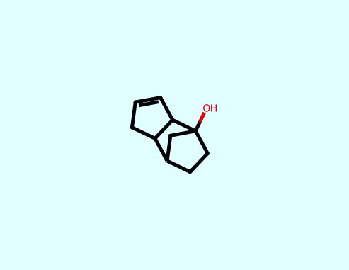 OC12CCC(C1)C1CC=CC12